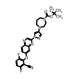 CC(C)(C)OC(=O)N1CCCN(c2cnn(-c3cnc4ccc(Oc5c(F)ccc(F)c5C#N)cc4n3)c2)CC1